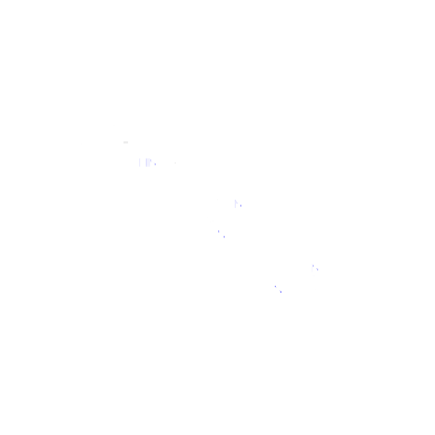 O=C(Nc1cccc2c(O)cccc12)c1ccc2c(c1)nc(-c1ccc3nc(-c4ccccc4)cnc3c1)n2C1CCCCC1